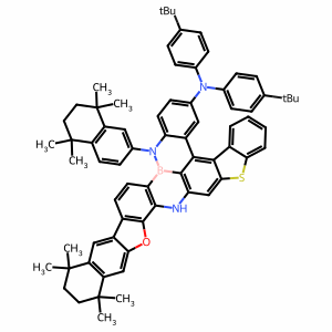 CC(C)(C)c1ccc(N(c2ccc(C(C)(C)C)cc2)c2ccc3c(c2)-c2c4c(cc5sc6ccccc6c25)Nc2c(ccc5c2oc2cc6c(cc25)C(C)(C)CCC6(C)C)B4N3c2ccc3c(c2)C(C)(C)CCC3(C)C)cc1